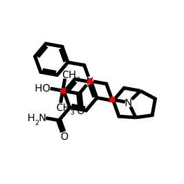 CC(C)(O)C(=O)N(CCN1C2CCC1CC(c1cccc(C(N)=O)c1)C2)Cc1ccccc1